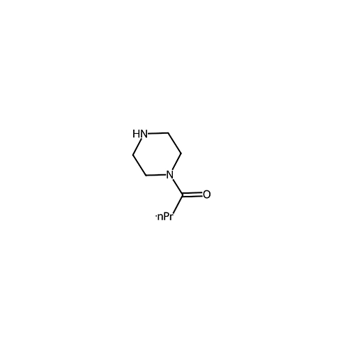 CC[CH]C(=O)N1CCNCC1